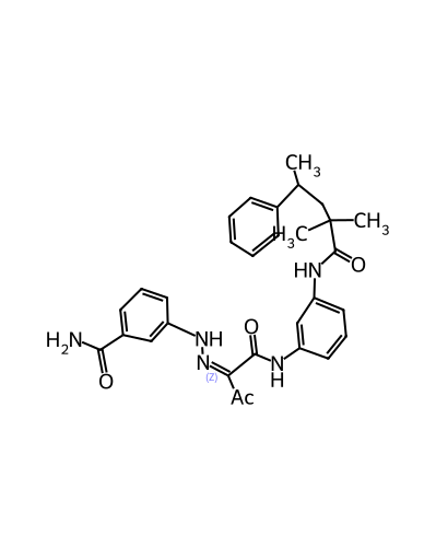 CC(=O)/C(=N/Nc1cccc(C(N)=O)c1)C(=O)Nc1cccc(NC(=O)C(C)(C)CC(C)c2ccccc2)c1